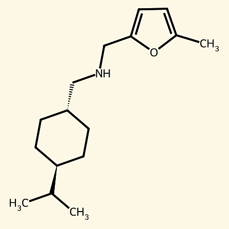 Cc1ccc(CNC[C@H]2CC[C@H](C(C)C)CC2)o1